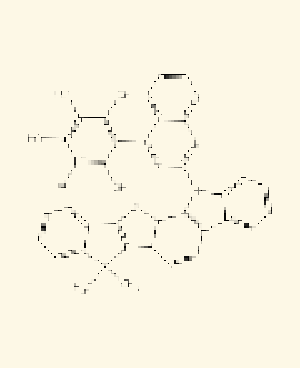 CC1(C)C2=C(SC3c4c(c5ccccc5n4-c4nc(-c5c(O)c(O)c(O)c(O)c5O)c5ccccc5n4)C=CC23)c2ccccc21